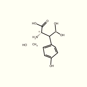 C.Cl.N[C@H](C(=O)O)C(B(O)O)c1ccc(O)cc1